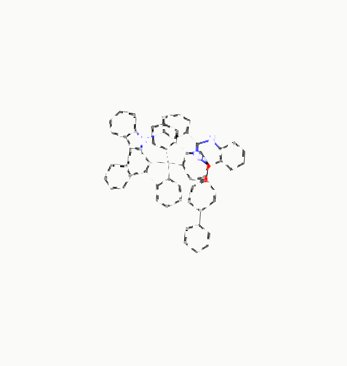 c1ccc(-c2ccc(-c3nc(-c4cccc(-n5c6ccccc6c6c7ccccc7c7c(c65)C5(c6ccccc6-c6ccccc65)c5ccccc5-7)c4)nc4ccccc34)cc2)cc1